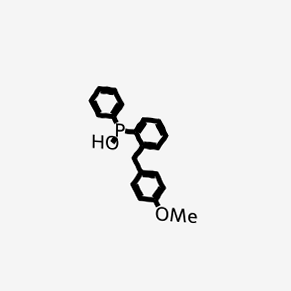 COc1ccc(Cc2ccccc2P(O)c2ccccc2)cc1